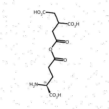 N[C@@H](CCC(=O)OC(=O)CC(CC(=O)O)C(=O)O)C(=O)O